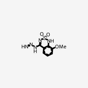 COc1cccc2c1NS(=O)(=O)N=C2NN=N